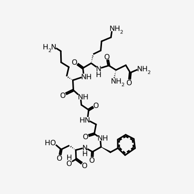 NCCCC[C@H](NC(=O)[C@H](CCCCN)NC(=O)[C@@H](N)CC(N)=O)C(=O)NCC(=O)NCC(=O)N[C@@H](Cc1ccccc1)C(=O)N[C@@H](CC(=O)O)C(=O)O